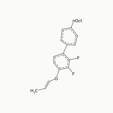 C/C=C/Oc1ccc(-c2ccc(CCCCCCCC)cc2)c(F)c1F